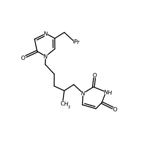 CC(C)Cc1cn(CCCC(C)Cn2ccc(=O)[nH]c2=O)c(=O)cn1